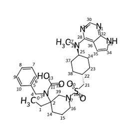 CCC1(N(Cc2ccccc2)C(=O)O)CCCN(S(=O)(=O)C[C@H]2CC[C@H](N(C)c3ncnc4[nH]ccc34)CC2)C1